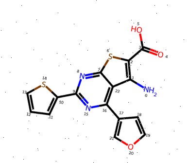 Nc1c(C(=O)O)sc2nc(-c3cccs3)nc(-c3ccoc3)c12